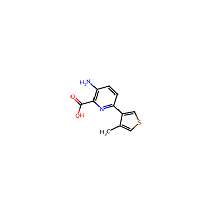 Cc1cscc1-c1ccc(N)c(C(=O)O)n1